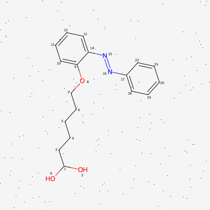 OC(O)CCCCCOc1ccccc1N=Nc1ccccc1